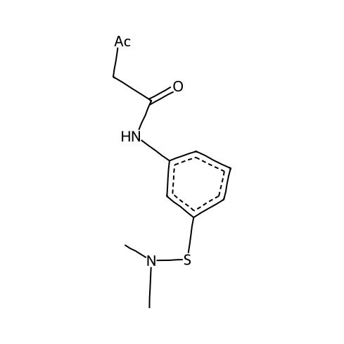 CC(=O)CC(=O)Nc1cccc(SN(C)C)c1